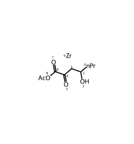 CCCC(O)CC(=O)C(=O)OC(C)=O.[Zr]